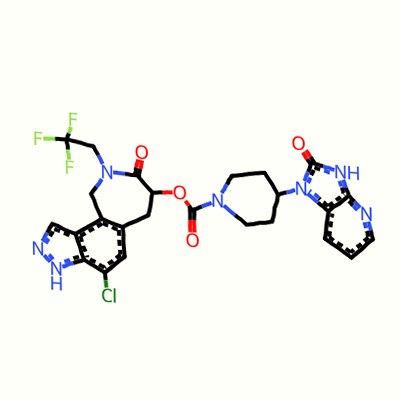 O=C(OC1Cc2cc(Cl)c3[nH]ncc3c2CN(CC(F)(F)F)C1=O)N1CCC(n2c(=O)[nH]c3ncccc32)CC1